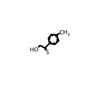 Cc1ccc(C(=S)CO)cc1